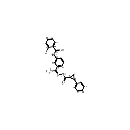 CC(=NNC(=O)C1CC1c1ccccc1)c1cccc(NC(=O)c2ccccc2F)c1